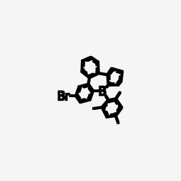 Cc1cc(C)c(B2c3ccccc3-c3ccccc3-c3cc(Br)ccc32)c(C)c1